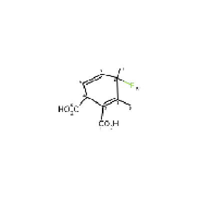 CC1=C(C(=O)O)C(C(=O)O)C=CC1(C)F